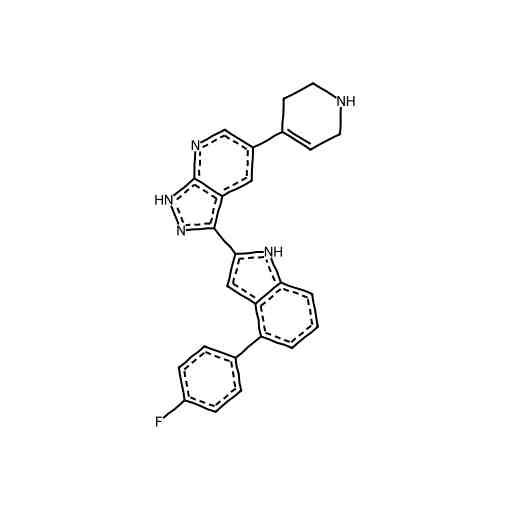 Fc1ccc(-c2cccc3[nH]c(-c4n[nH]c5ncc(C6=CCNCC6)cc45)cc23)cc1